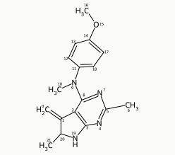 C=C1c2c(nc(C)nc2N(C)c2ccc(OC)cc2)NC1C